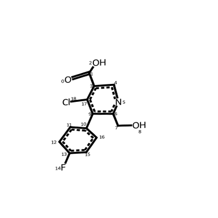 O=C(O)c1cnc(CO)c(-c2ccc(F)cc2)c1Cl